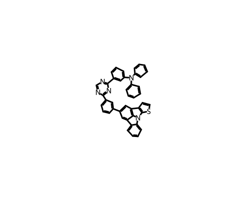 c1ccc(N(c2ccccc2)c2cccc(-c3ncnc(-c4cccc(-c5cc6c7ccccc7n7c8sccc8c(c5)c67)c4)n3)c2)cc1